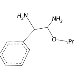 CC(C)OC(N)C(N)c1ccccc1